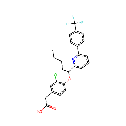 CCCCC(Oc1ccc(CC(=O)O)cc1Cl)c1cccc(-c2ccc(C(F)(F)F)cc2)n1